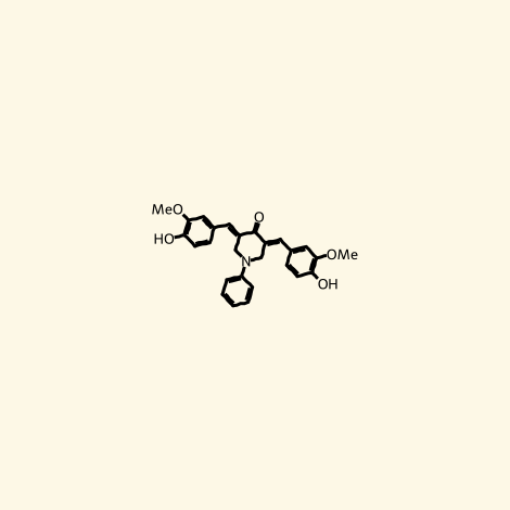 COc1cc(C=C2CN(c3ccccc3)CC(=Cc3ccc(O)c(OC)c3)C2=O)ccc1O